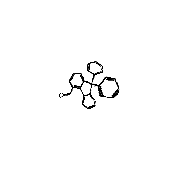 O=Cc1cccc2c1-c1ccccc1C2(c1ccccc1)c1ccccc1